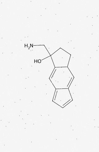 NCC1(O)CCC2C=C3C=CC=C3C=C21